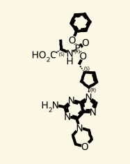 C[C@H](N[P@@](=O)(OC[C@@H]1C=C[C@H](n2cnc3c(N4CCOCC4)nc(N)nc32)C1)Oc1ccccc1)C(=O)O